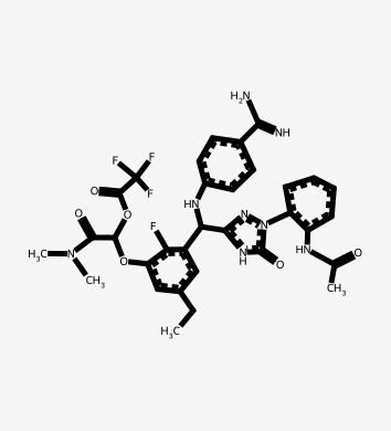 CCc1cc(OC(OC(=O)C(F)(F)F)C(=O)N(C)C)c(F)c(C(Nc2ccc(C(=N)N)cc2)c2nn(-c3ccccc3NC(C)=O)c(=O)[nH]2)c1